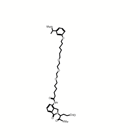 CNC(=O)C(CCC=O)N1Cc2c(NC(=O)CCCCCOCCOCCOCCCCCCOc3cccc(C(C)NC)c3)cccc2C1=O